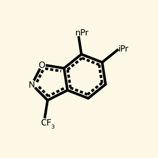 CCCc1c(C(C)C)ccc2c(C(F)(F)F)noc12